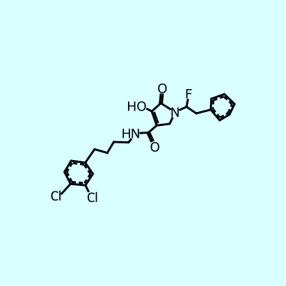 O=C(NCCCCc1ccc(Cl)c(Cl)c1)C1=C(O)C(=O)N(C(F)Cc2ccccc2)C1